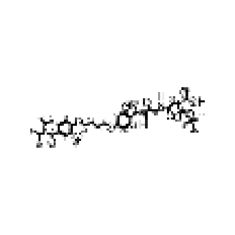 COc1cc(C(=O)N(C(C)C)C(C)C)ccc1OCCCCOc1ccc2c(NC(=O)CNC(=O)CN(C(=O)O)C(=O)OC(C)(C)C)noc2c1